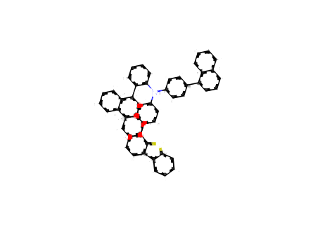 c1ccc(N(c2ccc(-c3cccc4ccccc34)cc2)c2ccc(-c3cccc4c3sc3ccccc34)cc2)c(-c2cc3ccccc3c3ccccc23)c1